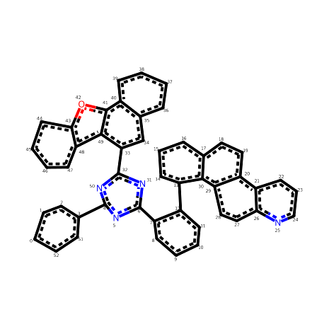 c1ccc(-c2nc(-c3ccccc3-c3cccc4ccc5c6cccnc6ccc5c34)nc(-c3cc4ccccc4c4oc5ccccc5c34)n2)cc1